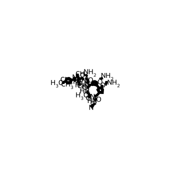 COc1nc(-c2ccc(C(C)(C)C)cc2)nc(C)c1C(=O)N[C@@H](CCN)C(=O)N(C)[C@@H]1C(=O)N[C@@H](C)C(=O)N[C@H](C(=O)NCC#N)Cc2ccc(OCCN)c(c2)-c2cc1ccc2OCCN